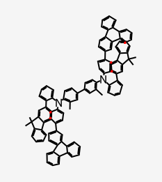 Cc1cc(-c2ccc(N(c3ccc(-c4ccc5c6ccccc6c6ccccc6c5c4)cc3)c3ccccc3-c3ccc4c(c3)C(C)(C)c3ccccc3-4)c(C)c2)ccc1N(c1ccc(-c2ccc3c4ccccc4c4ccccc4c3c2)cc1)c1ccccc1-c1ccc2c(c1)C(C)(C)c1ccccc1-2